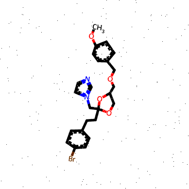 COc1ccc(COCC2COC(CCc3ccc(Br)cc3)(Cn3ccnc3)O2)cc1